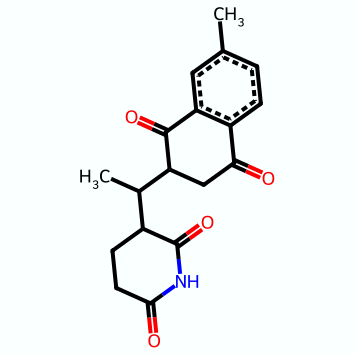 Cc1ccc2c(c1)C(=O)C(C(C)C1CCC(=O)NC1=O)CC2=O